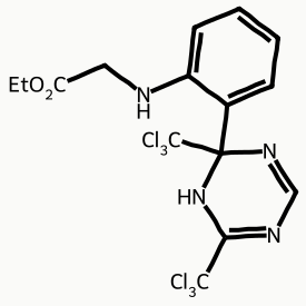 CCOC(=O)CNc1ccccc1C1(C(Cl)(Cl)Cl)N=CN=C(C(Cl)(Cl)Cl)N1